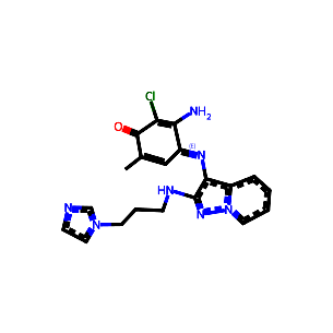 CC1=C/C(=N\c2c(NCCCn3ccnc3)nn3ccccc23)C(N)=C(Cl)C1=O